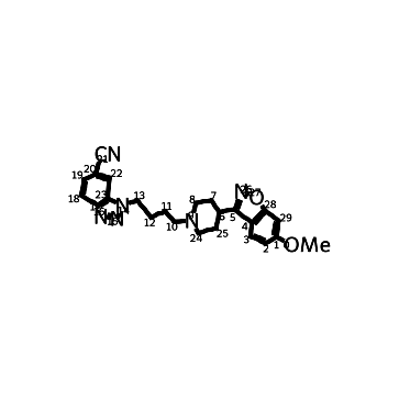 COc1ccc2c(C3CCN(CCCCn4nnc5ccc(C#N)cc54)CC3)noc2c1